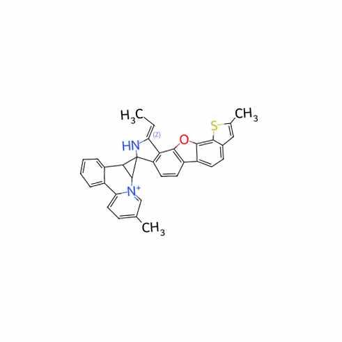 C/C=C1\NC2(c3ccc4c(oc5c4ccc4cc(C)sc45)c31)C1c3ccccc3-c3ccc(C)c[n+]3C12